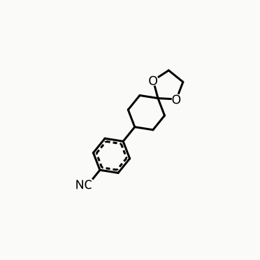 N#Cc1ccc(C2CCC3(CC2)OCCO3)cc1